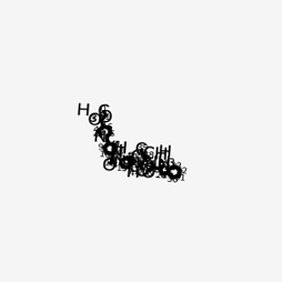 COC(=O)c1ccc(-c2ccc(C(=O)N3C[C@@H]4CC3CN4C(=O)[C@@H](NC(=O)c3cc4ccccc4[nH]3)C(C)(C)C)nc2)nc1